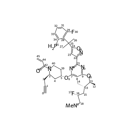 C#CC[C@@H]1C[C@@H](Oc2cc(O[C@@H](C)[C@@H](C)C[C@@H](F)CNC)nc(-c3cc(C(C)(C)c4c(F)cccc4P)on3)n2)CCN1C(=O)C=C